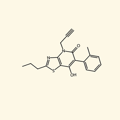 C#CCn1c(=O)c(-c2ccccc2C)c(O)c2sc(CCC)nc21